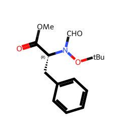 COC(=O)[C@@H](Cc1ccccc1)N(C=O)OC(C)(C)C